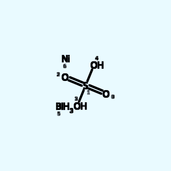 O=S(=O)(O)O.[BiH3].[Ni]